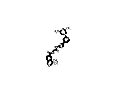 C[C@@H]1CN(c2cc(-c3csc(NC(=O)CNC(=O)c4ccc5c(c4)[C@](C)(C#N)COC5)n3)ccn2)C[C@H](C)O1